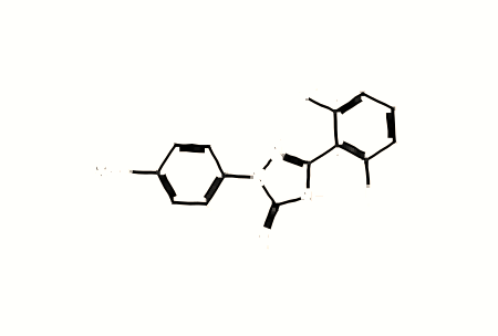 COc1ccc(-n2nc(-c3c(F)cccc3Cl)[nH]c2=O)cc1